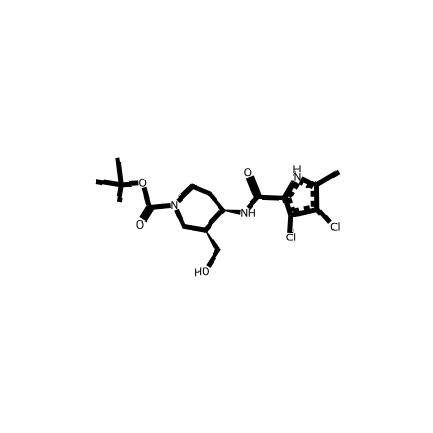 Cc1[nH]c(C(=O)N[C@@H]2CCN(C(=O)OC(C)(C)C)C[C@@H]2CO)c(Cl)c1Cl